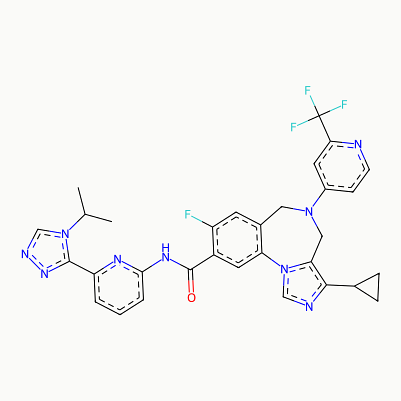 CC(C)n1cnnc1-c1cccc(NC(=O)c2cc3c(cc2F)CN(c2ccnc(C(F)(F)F)c2)Cc2c(C4CC4)ncn2-3)n1